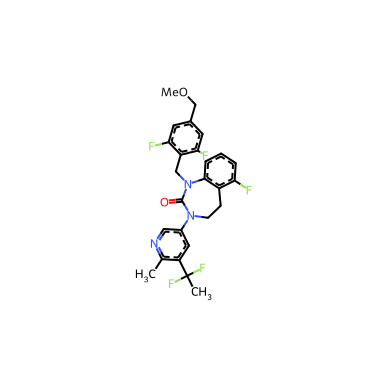 COCc1cc(F)c(CN2C(=O)N(c3cnc(C)c(C(C)(F)F)c3)CCc3c(F)cccc32)c(F)c1